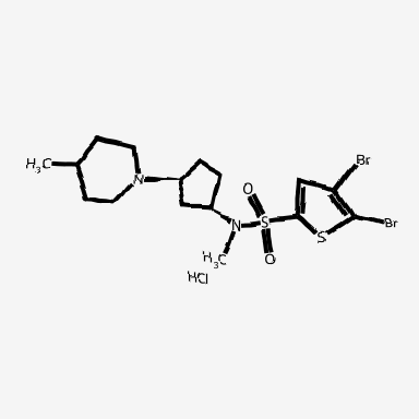 CC1CCN([C@H]2CC[C@@H](N(C)S(=O)(=O)c3cc(Br)c(Br)s3)C2)CC1.Cl